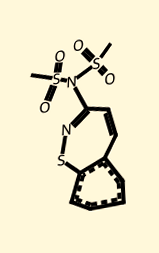 CS(=O)(=O)N(C1=NSc2ccccc2C=C1)S(C)(=O)=O